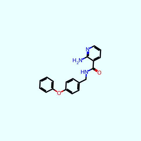 Nc1ncccc1C(=O)NCc1ccc(Oc2ccccc2)cc1